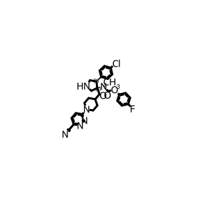 CN(C(=O)Oc1ccc(F)cc1)[C@]1(C(=O)C2CCN(c3ccc(C#N)nn3)CC2)CNC[C@H]1c1ccc(Cl)cc1